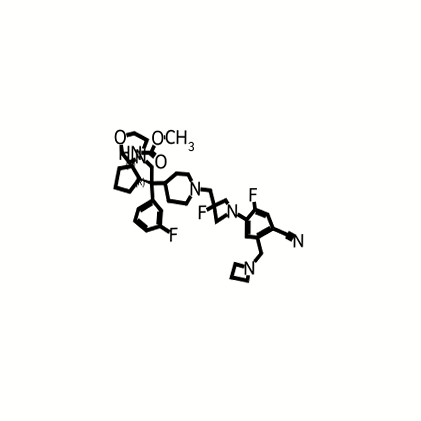 COC(=O)N[C@H]1CCC[C@@H]1C(CN1CCOCC1)(c1cccc(F)c1)C1CCN(CC2(F)CN(c3cc(CN4CCC4)c(C#N)cc3F)C2)CC1